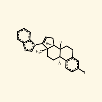 C[C@]12CC[C@@H]3c4ccc(I)cc4CC[C@H]3[C@@H]1CC=C2n1cnc2ccccc21